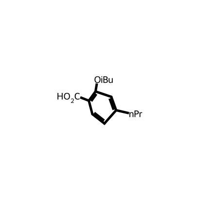 CCCc1ccc(C(=O)O)c(OCC(C)C)c1